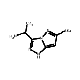 CC(N)c1n[nH]c2cc(C(C)(C)C)nn12